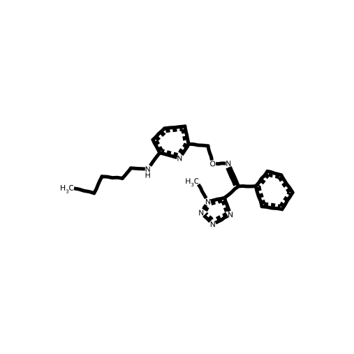 CCCCCNc1cccc(CON=C(c2ccccc2)c2nnnn2C)n1